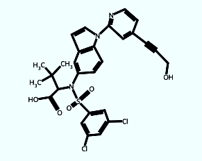 CC(C)(C)C(C(=O)O)N(c1ccc2c(ccn2-c2cc(C#CCO)ccn2)c1)S(=O)(=O)c1cc(Cl)cc(Cl)c1